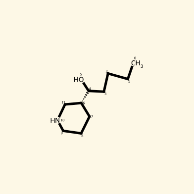 CCCCC(O)[C@@H]1CCCNC1